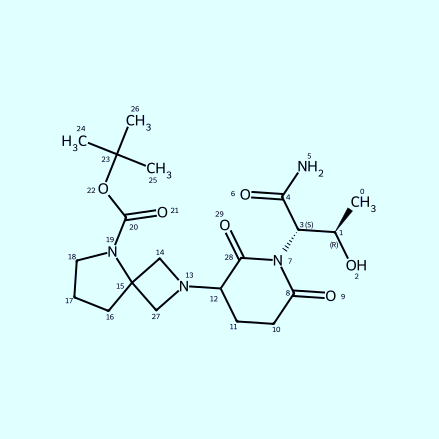 C[C@@H](O)[C@@H](C(N)=O)N1C(=O)CCC(N2CC3(CCCN3C(=O)OC(C)(C)C)C2)C1=O